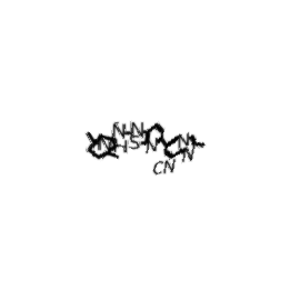 Cc1cn2cc(-c3ccc4nc(N(C)C5CC6(C)CCC(C)(C5)N6)sc4n3)cc(C#N)c2n1